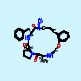 CCC[C@@H]1NCCOc2ccccc2CCCN(N)C(=O)[C@@H](Cc2ccccc2)NC(=O)[C@H]2CCCN2C1=O